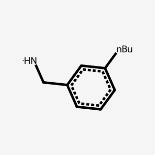 CCCCc1cccc(C[NH])c1